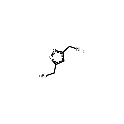 CCCCCc1cc(CN)on1